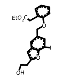 CCOC(=O)Cc1ccccc1OCc1cc(I)c2oc(CCO)cc2c1